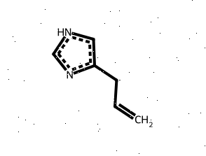 C=C[CH]c1c[nH]cn1